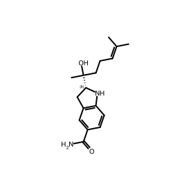 CC(C)=CCCC(C)(O)[C@H]1Cc2cc(C(N)=O)ccc2N1